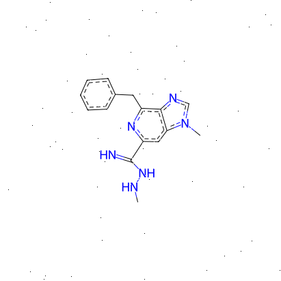 CNNC(=N)c1cc2c(ncn2C)c(Cc2ccccc2)n1